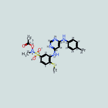 CCSc1ccc(S(=O)(=O)N(C)OC(=O)C(F)(F)F)cc1Nc1cc(Nc2ccc(C(C)C)cc2)ncn1